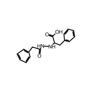 O=C(Cc1ccccc1)NNC(Cc1ccccc1)C(=O)O